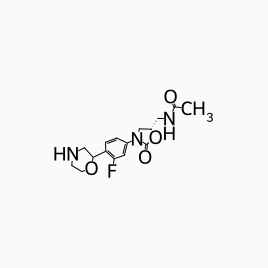 CC(=O)NC[C@H]1CN(c2ccc(C3CNCCO3)c(F)c2)C(=O)O1